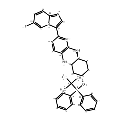 CC(C)(C)[Si](O[C@H]1CC[C@H](Nc2nc(-c3cnc4ccc(F)cn34)ncc2N)CC1)(c1ccccc1)c1ccccc1